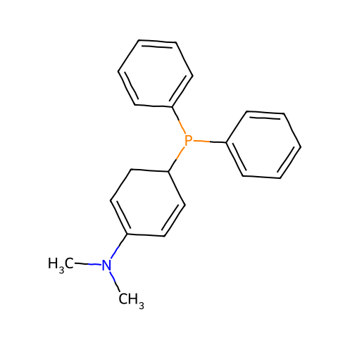 CN(C)C1=CCC(P(c2ccccc2)c2ccccc2)C=C1